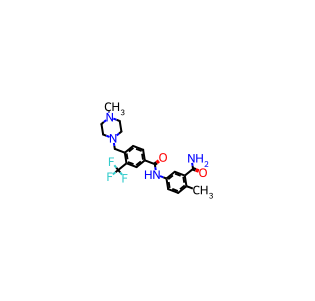 Cc1ccc(NC(=O)c2ccc(CN3CCN(C)CC3)c(C(F)(F)F)c2)cc1C(N)=O